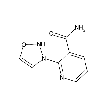 NC(=O)c1cccnc1N1C=CON1